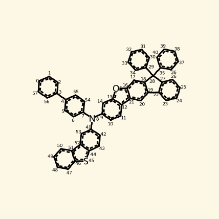 c1ccc(-c2ccc(N(c3ccc4c(c3)oc3cc5c(cc34)-c3ccccc3C5(c3ccccc3)c3ccccc3)c3ccc4sc5ccccc5c4c3)cc2)cc1